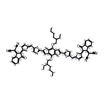 CCCCC(CC)COc1c2cc(-c3ncc(/C=c4/cc/c(=C5/C(=O)c6ccccc6C5=C(C#N)C#N)s4)s3)sc2c(OCC(CC)CCCC)c2cc(-c3ncc(/C=c4/cc/c(=C5/C(=O)c6ccccc6C5=C(C#N)C#N)s4)s3)sc12